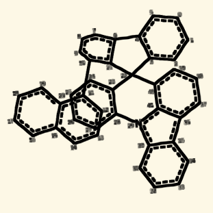 c1ccc2c(c1)-c1cccc(-c3cccc4ccccc34)c1C21c2ccccc2-n2c3ccccc3c3cccc1c32